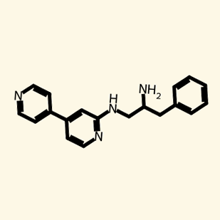 NC(CNc1cc(-c2ccncc2)ccn1)Cc1ccccc1